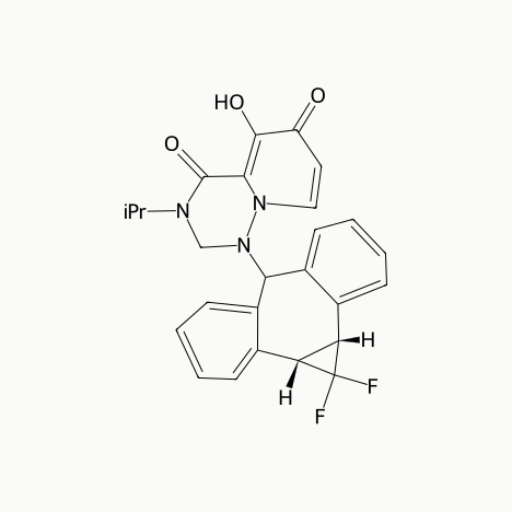 CC(C)N1CN(C2c3ccccc3[C@@H]3[C@H](c4ccccc42)C3(F)F)n2ccc(=O)c(O)c2C1=O